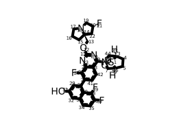 O=S1(=O)[C@@H]2CC[C@H]1CN(c1nc(OC[C@@]34CCCN3C[C@H](F)C4)nc3c(F)c(-c4cc(O)cc5ccc(F)c(F)c45)ccc13)C2